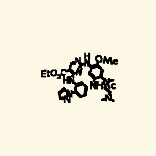 CCOC(=O)c1cnc(Nc2cc(NC(C)=O)c(N(C)CCN(C)C)cc2OC)nc1Nc1ccccc1-n1cccn1